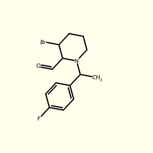 CC(c1ccc(F)cc1)N1CCCC(Br)C1C=O